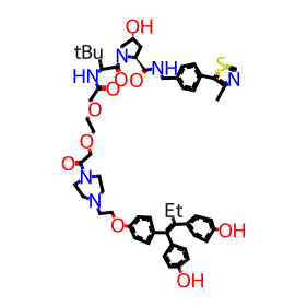 CCC(=C(c1ccc(O)cc1)c1ccc(OCCN2CCN(C(=O)COCCOCC(=O)NC(C(=O)N3C[C@H](O)C[C@H]3C(=O)NCc3ccc(-c4scnc4C)cc3)C(C)(C)C)CC2)cc1)c1ccc(O)cc1